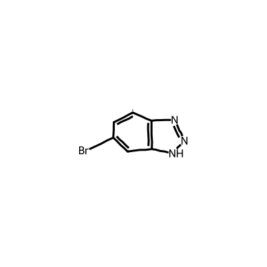 Brc1c[c]c2nn[nH]c2c1